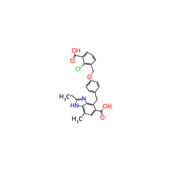 CCc1nc2c(Cc3ccc(OCc4cccc(C(=O)O)c4Cl)cc3)c(C(=O)O)cc(C)c2[nH]1